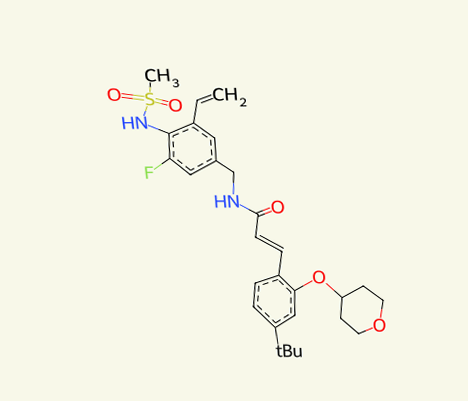 C=Cc1cc(CNC(=O)C=Cc2ccc(C(C)(C)C)cc2OC2CCOCC2)cc(F)c1NS(C)(=O)=O